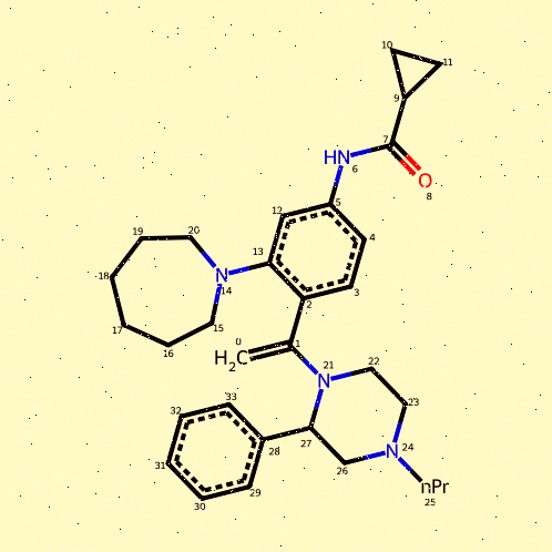 C=C(c1ccc(NC(=O)C2CC2)cc1N1CCCCCC1)N1CCN(CCC)CC1c1ccccc1